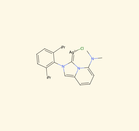 CC(C)c1cccc(C(C)C)c1-n1cc2cccc(N(C)C)n2[c]1=[Ag-2][Cl]